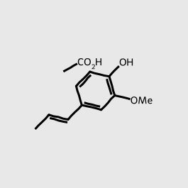 C/C=C/c1ccc(O)c(OC)c1.CC(=O)O